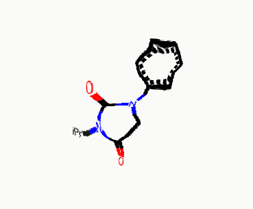 CC(C)N1C(=O)CN(c2ccccc2)C1=O